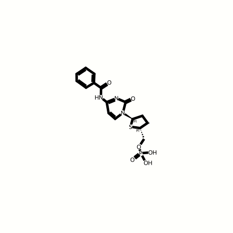 O=C(Nc1ccn([C@H]2C[CH][C@H](COP(=O)(O)O)S2)c(=O)n1)c1ccccc1